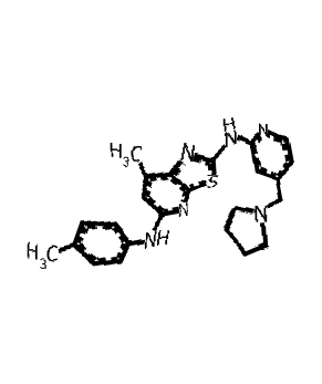 Cc1ccc(Nc2cc(C)c3nc(Nc4cc(CN5CCCC5)ccn4)sc3n2)cc1